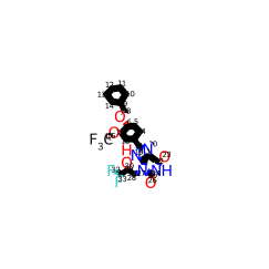 Cn1c(-c2ccc(OCc3ccccc3)c(OC(F)(F)F)c2)nc2c1c(=O)[nH]c(=O)n2CC(O)C(F)F